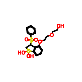 O=S(=O)(c1ccccc1)C1CS(O)(O)c2cccc(OCCOCCO)c21